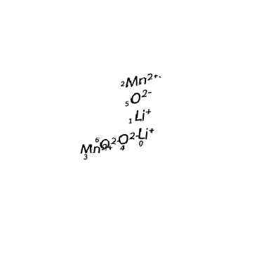 [Li+].[Li+].[Mn+2].[Mn+2].[O-2].[O-2].[O-2]